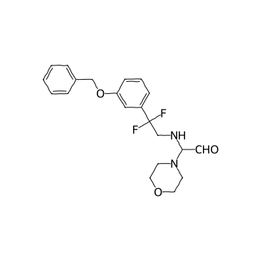 O=CC(NCC(F)(F)c1cccc(OCc2ccccc2)c1)N1CCOCC1